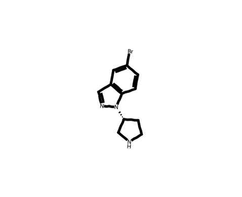 Brc1ccc2c(cnn2[C@@H]2CCNC2)c1